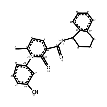 Cc1ccc(C(=O)NC2CCCc3ccccc32)c(=O)n1-c1cccc(C#N)c1